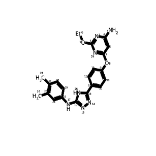 CCOc1nc(N)cc(Oc2ccc(-c3nnc(Nc4ccc(C)c(C)c4)[nH]3)cc2)n1